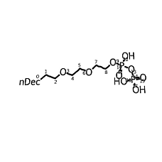 CCCCCCCCCCCCOCCOCCOP(=O)(O)OP(=O)(O)O